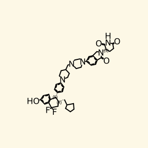 O=C1CC[C@H](N2Cc3cc(N4CCN(CC5CCN(c6ccc([C@H]7c8ccc(O)cc8C(F)(F)C[C@H]7CC7CCCC7)cc6)CC5)CC4)ccc3C2=O)C(=O)N1